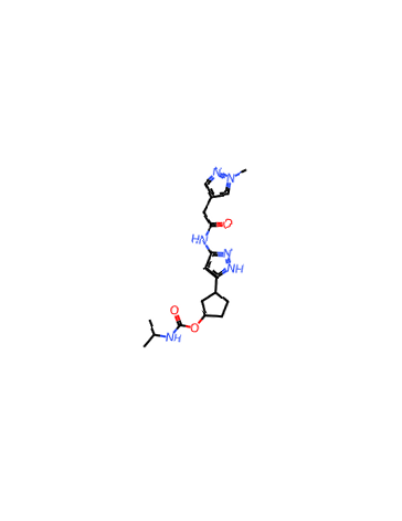 CC(C)NC(=O)OC1CCC(c2cc(NC(=O)Cc3cnn(C)c3)n[nH]2)C1